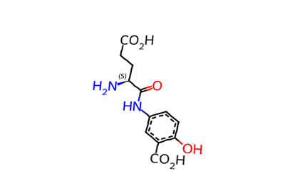 N[C@@H](CCC(=O)O)C(=O)Nc1ccc(O)c(C(=O)O)c1